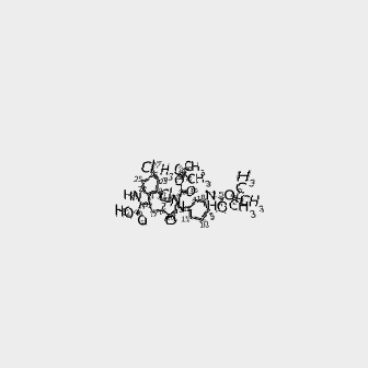 CC(C)(C)OC(=O)Nc1cccc(N2C(=O)/C(=C/c3c(C(=O)O)[nH]c4cc(Cl)cc(Cl)c34)CN2C(=O)OC(C)(C)C)c1